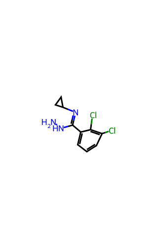 NNC(=NC1CC1)c1cccc(Cl)c1Cl